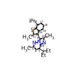 CCC(CC)c1cc(C)nn2c(-c3c(C)sc4c(C(C)C)cccc34)c(C)nc12